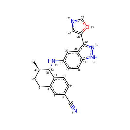 C[C@@H]1CCc2cc(C#N)ccc2[C@H]1Nc1ccc2[nH]nc(-c3cnco3)c2c1